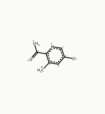 CC(=O)c1ncc(Cl)cc1C